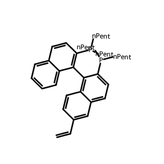 C=Cc1ccc2c(-c3c(P(CCCCC)CCCCC)ccc4ccccc34)c(P(CCCCC)CCCCC)ccc2c1